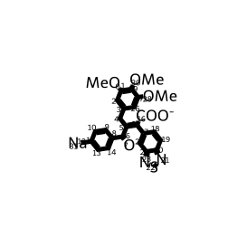 COc1cc(CC(C(=O)c2ccc(C)cc2)=C(C(=O)[O-])c2ccc3nsnc3c2)cc(OC)c1OC.[Na+]